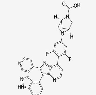 O=C(O)N1C[C@@H]2C[C@H]1CN2c1cc(F)c(-c2ccnc3c(-c4cccc5[nH]ncc45)c(-c4ccncc4)nn23)c(F)c1